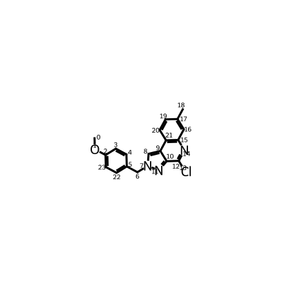 COc1ccc(Cn2cc3c(n2)c(Cl)nc2cc(C)ccc23)cc1